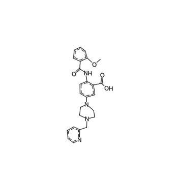 COc1ccccc1C(=O)Nc1ccc(N2CCN(Cc3ccccn3)CC2)cc1C(=O)O